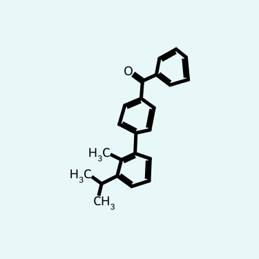 Cc1c(-c2ccc(C(=O)c3ccccc3)cc2)cccc1C(C)C